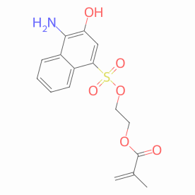 C=C(C)C(=O)OCCOS(=O)(=O)c1cc(O)c(N)c2ccccc12